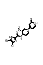 CCO[C@H]1CN(c2cc[nH]c(=O)c2)CC[C@H]1NC(=O)c1nc(Cl)c(CC)[nH]1